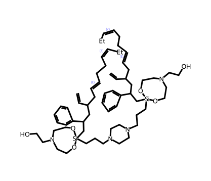 C=CC(C/C=C/CC/C=C\CC)CC(C[Si]1(CCCN2CCN(CCC[Si]3(CC(CC(C=C)C/C=C/CC/C=C\CC)c4ccccc4)OCCN(CCO)CCO3)CC2)OCCN(CCO)CCO1)c1ccccc1